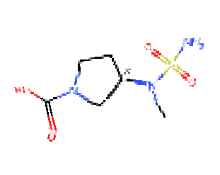 CN([C@@H]1CCN(C(=O)O)C1)S(N)(=O)=O